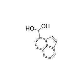 OC(O)c1ccc2cccc3c2c1C=C3